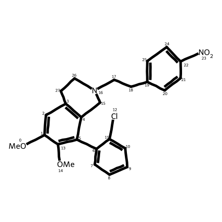 COc1cc2c(c(-c3ccccc3Cl)c1OC)CN(CCc1ccc([N+](=O)[O-])cc1)CC2